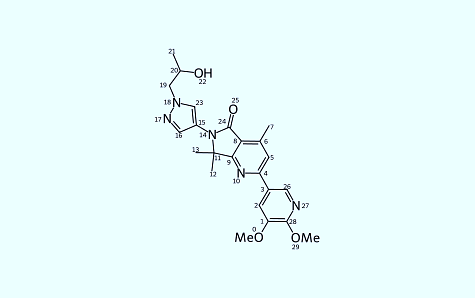 COc1cc(-c2cc(C)c3c(n2)C(C)(C)N(c2cnn(CC(C)O)c2)C3=O)cnc1OC